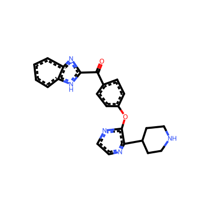 O=C(c1ccc(Oc2nccnc2C2CCNCC2)cc1)c1nc2ccccc2[nH]1